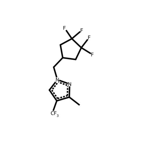 Cc1nn(CC2CC(F)(F)C(F)(F)C2)cc1C(F)(F)F